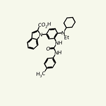 CCN(c1ccc(-n2c(C(=O)O)cc3ccccc32)cc1NC(=O)Nc1ccc(C)cc1)C1CCCCC1